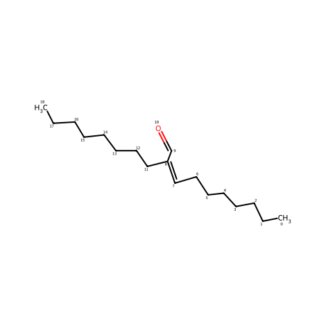 CCCCCCCC=C(C=O)CCCCCCCC